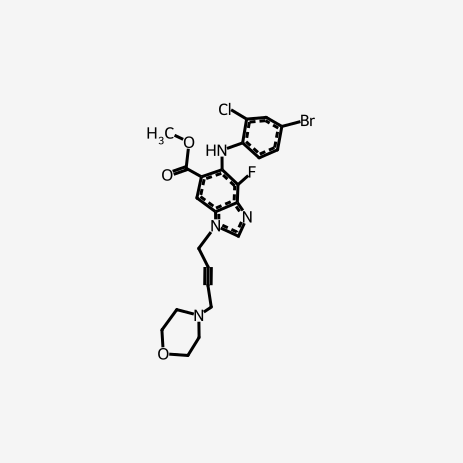 COC(=O)c1cc2c(ncn2CC#CCN2CCOCC2)c(F)c1Nc1ccc(Br)cc1Cl